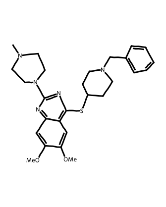 COc1cc2nc(N3CCN(C)CC3)nc(SC3CCN(Cc4ccccc4)CC3)c2cc1OC